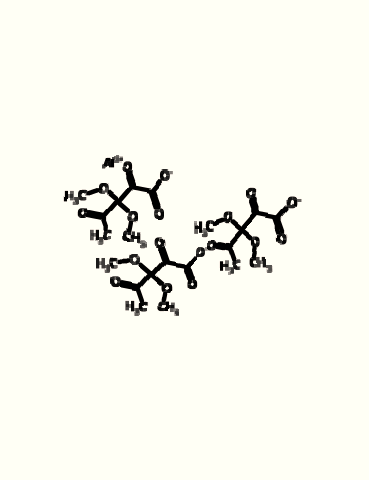 COC(OC)(C(C)=O)C(=O)C(=O)[O-].COC(OC)(C(C)=O)C(=O)C(=O)[O-].COC(OC)(C(C)=O)C(=O)C(=O)[O-].[Al+3]